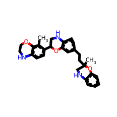 Cc1c(C2CNc3ccc(CCC4(C)CNc5ccccc5O4)cc3O2)ccc2c1OCCN2